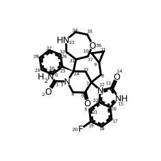 NC(=O)N1CC(=O)C(CC2CC2)(n2c(=O)[nH]c3ccc(F)cc32)C[C@@]1(c1ccccc1)C1CNCCOC1